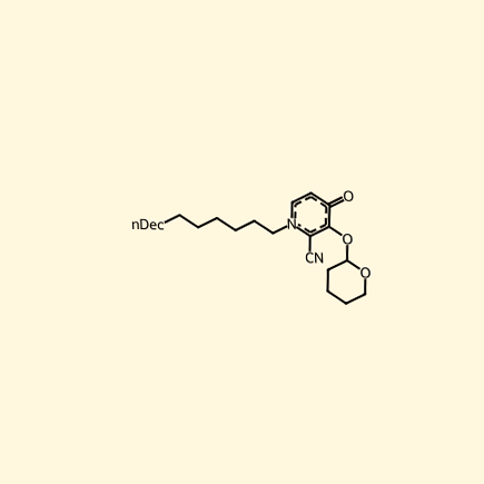 CCCCCCCCCCCCCCCCn1ccc(=O)c(OC2CCCCO2)c1C#N